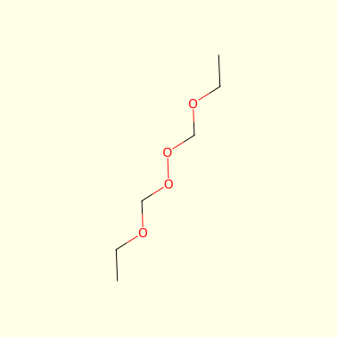 CCOCOOCOCC